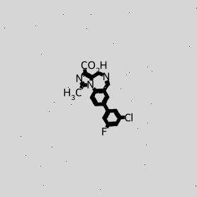 Cc1nc(C(=O)O)c2n1-c1ccc(-c3cc(F)cc(Cl)c3)cc1C=NC2